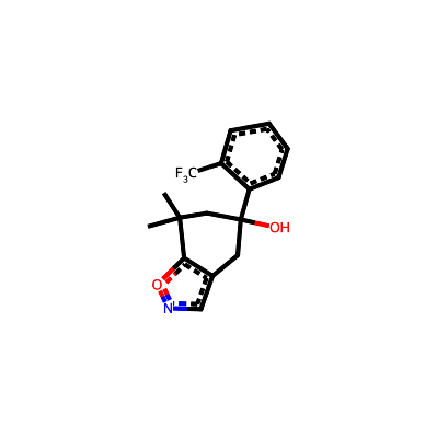 CC1(C)CC(O)(c2ccccc2C(F)(F)F)Cc2cnoc21